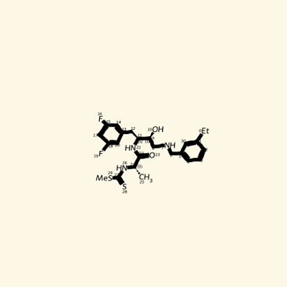 CCc1cccc(CNC[C@H](O)[C@H](Cc2cc(F)cc(F)c2)NC(=O)[C@H](C)NC(=S)SC)c1